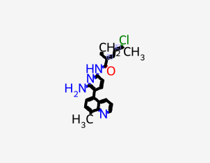 C=C/C(=C\C=C(/C)Cl)C(=O)Nc1ccc(-c2ccc(C)c3ncccc23)c(N)n1